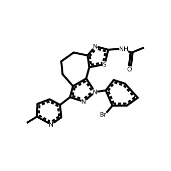 CC(=O)Nc1nc2c(s1)-c1c(c(-c3ccc(C)nc3)nn1-c1ccccc1Br)CCC2